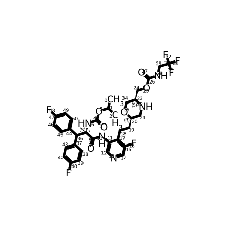 CC(C)OC(=O)N[C@H](C(=O)Nc1cncc(F)c1CC[C@@H]1CN[C@H](COC(=O)NCC(F)(F)F)CO1)C(c1ccc(F)cc1)c1ccc(F)cc1